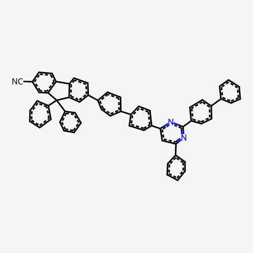 N#Cc1ccc2c(c1)C(c1ccccc1)(c1ccccc1)c1cc(-c3ccc(-c4ccc(-c5cc(-c6ccccc6)nc(-c6ccc(-c7ccccc7)cc6)n5)cc4)cc3)ccc1-2